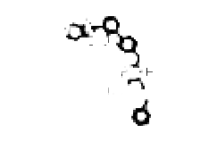 COC(=O)C(COCc1ccccc1)NC(=O)Cc1ccc(-c2cccc(-c3nc4cnccc4[nH]3)c2O)cc1